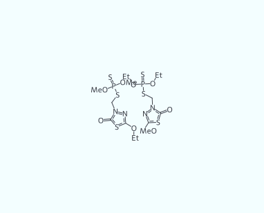 CCOP(=S)(OCC)SCn1nc(OC)sc1=O.CCOc1nn(CSP(=S)(OC)OC)c(=O)s1